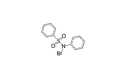 O=S(=O)(c1ccccc1)N(Br)c1ccccc1